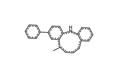 Cc1cccc2ccccc2[nH]c2ccc(-c3ccccc3)cc12